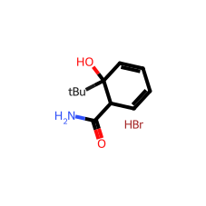 Br.CC(C)(C)C1(O)C=CC=CC1C(N)=O